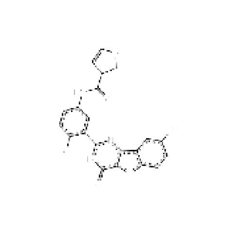 O=C(Nc1ccc(Cl)c(-c2nc3c(oc4ccc(Br)cc43)c(=O)[nH]2)c1)C1C=COC1